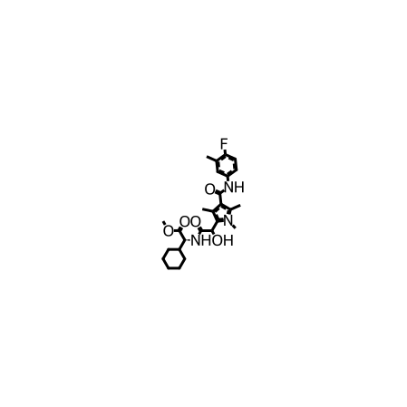 COC(=O)[C@H](NC(=O)C(O)c1c(C)c(C(=O)Nc2ccc(F)c(C)c2)c(C)n1C)C1CCCCC1